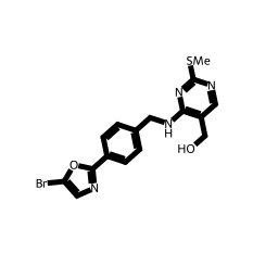 CSc1ncc(CO)c(NCc2ccc(-c3ncc(Br)o3)cc2)n1